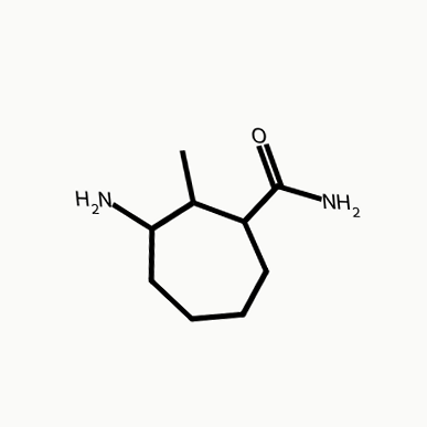 CC1C(N)CCCCC1C(N)=O